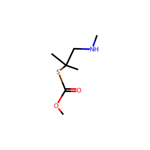 CNCC(C)(C)SC(=O)OC